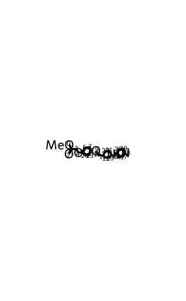 COC(=O)COc1ccc(OCC2CCN(c3ccncc3)CC2)cc1